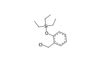 CC[Si](CC)(CC)Oc1ccccc1CCl